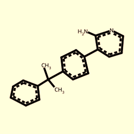 CC(C)(c1ccccc1)c1ccc(-c2cccnc2N)cc1